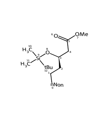 CCCCCCCCCCC[C@H](CC(=O)OC)O[Si](C)(C)C(C)(C)C